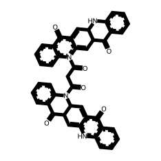 O=C1c2ccccc2NC2C=c3c(=O)c4ccccc4n(C(=O)CC(=O)N4c5ccccc5C(=O)C5C=c6[nH]c7ccccc7c(=O)c6=CC54)c3=CC12